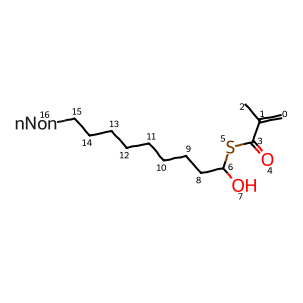 C=C(C)C(=O)SC(O)CCCCCCCCCCCCCCCCC